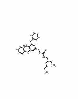 CCCCC(CC)COC(=O)CCc1cc(Cc2ccccc2)c(O)c(Cc2ccccc2)c1